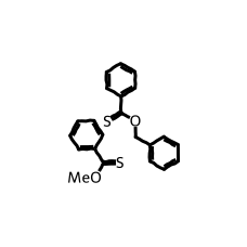 COC(=S)c1ccccc1.S=C(OCc1ccccc1)c1ccccc1